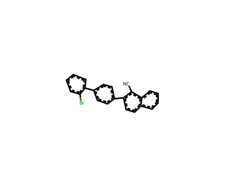 N#Cc1c(-c2ccc(-c3ccccc3Br)cc2)ccc2ccccc12